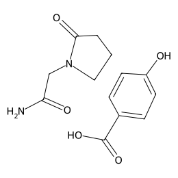 NC(=O)CN1CCCC1=O.O=C(O)c1ccc(O)cc1